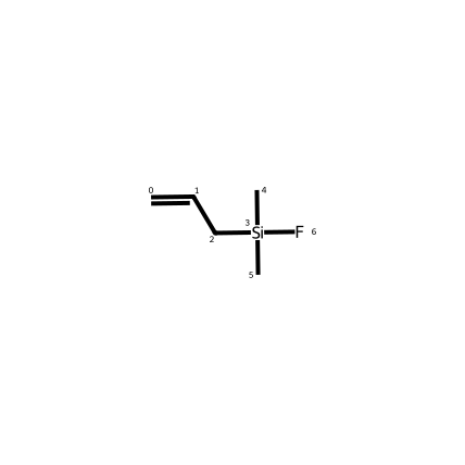 C=CC[Si](C)(C)F